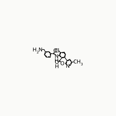 Cc1cncc(-c2ccc(Cl)c(NC(=O)c3cccc(CN)c3)c2C(=O)O)c1